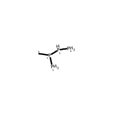 CP(P)PP